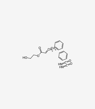 C.C=CC(=O)OCCO.N=C=O.N=C=O.c1ccccc1.c1ccccc1